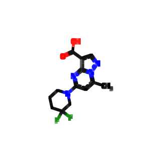 Cc1cc(N2CCCC(F)(F)C2)nc2c(C(=O)O)cnn12